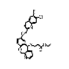 CCOC(=O)CCSC1c2cc(OCc3ccc4cc(F)c(Cl)cc4n3)ccc2OCc2ncccc21